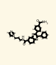 NC(=O)c1ccc(-c2nc3cc(C(=O)NCCCn4ccnc4)ccc3nc2-c2ccccc2)cc1